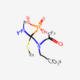 CCSC(NC(C)C)(N(CC(=O)O)C(=O)C(F)(F)F)P(=O)(O)O